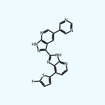 Fc1ccc(-c2ccnc3[nH]c(-c4n[nH]c5ncc(-c6cncnc6)cc45)nc23)s1